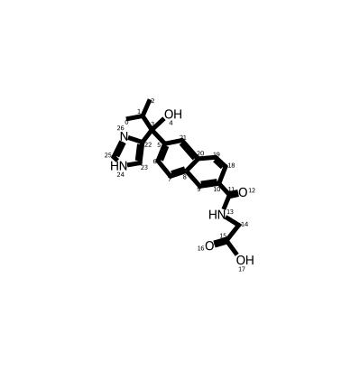 CC(C)C(O)(c1ccc2cc(C(=O)NCC(=O)O)ccc2c1)c1c[nH]cn1